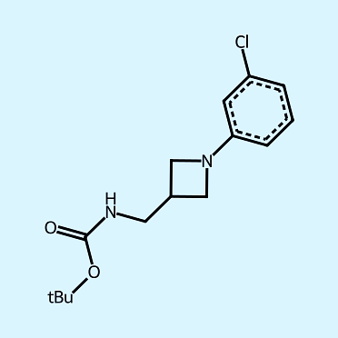 CC(C)(C)OC(=O)NCC1CN(c2cccc(Cl)c2)C1